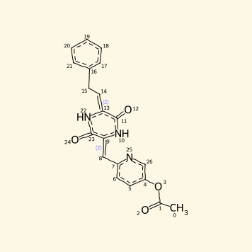 CC(=O)Oc1ccc(/C=c2\[nH]c(=O)/c(=C/Cc3ccccc3)[nH]c2=O)nc1